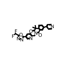 CC1(C)C(=O)N(Cc2ccc(-c3nnc(C(F)F)o3)cn2)C(=O)c2cc(-c3ccncc3)ccc21